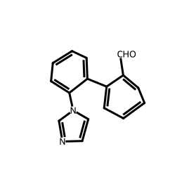 O=Cc1ccccc1-c1ccccc1-n1ccnc1